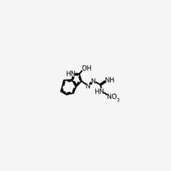 N=C(N=Nc1c(O)[nH]c2ccccc12)N[N+](=O)[O-]